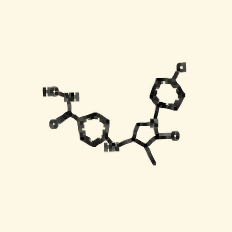 CC1C(=O)N(c2ccc(Cl)cc2)CC1Nc1ccc(C(=O)NO)cc1